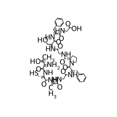 C[C@H](NC(=O)[C@H](CS)NC(=O)[C@@H](N)[C@@H](C)O)C(=O)NCC(=O)N[C@@H](Cc1ccccc1)C(=O)N1CCC[C@H]1C(=O)NCC(=O)N[C@@H](CO)C(=O)N[C@@H](Cc1ccccc1)C(=O)NCC(=O)O